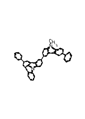 Cn1c2ccc(-c3ccccc3)cc2c2cc(-c3ccc4c(c3)c3cc(-c5ccccc5)cc5c6ccccc6n4c53)ccc21